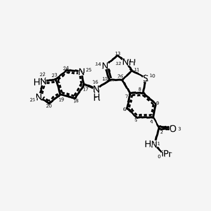 CC(C)NC(=O)c1ccc2c(c1)SC1NCN=C(Nc3cc4cn[nH]c4cn3)C21